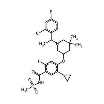 CC(c1ccc(F)cc1Cl)N1CC(Oc2cc(F)c(C(=O)NS(C)(=O)=O)cc2C2CC2)CC(C)(C)C1